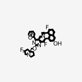 C#Cc1c(F)ccc2cc(O)cc(-c3ncc4c(N5CC6CCC5CO6)nc(OC[C@@]56CCCN5C[C@H](F)C6)nc4c3F)c12